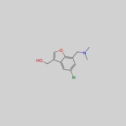 CN(C)Cc1cc(Br)cc2c(CO)coc12